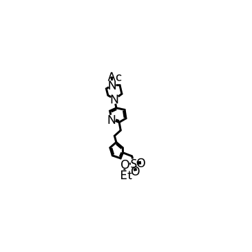 CCOS(=O)(=O)Cc1cccc(CCc2ccc(N3CCN(C(C)=O)CC3)cn2)c1